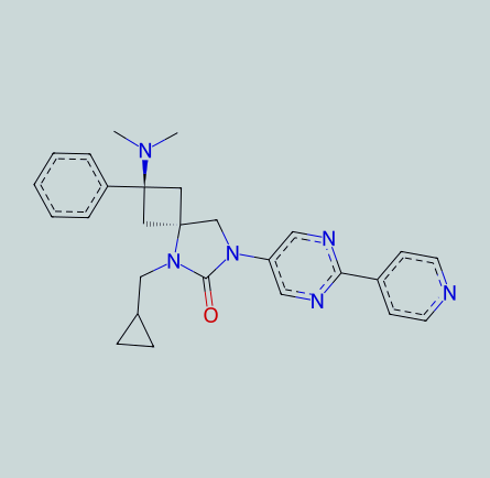 CN(C)[C@]1(c2ccccc2)C[C@@]2(CN(c3cnc(-c4ccncc4)nc3)C(=O)N2CC2CC2)C1